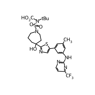 Cc1cc(Nc2nccc(C(F)(F)F)n2)cc(-c2cnc(C3(O)CCCN(S(=O)(=O)N(C(=O)O)C(C)(C)C)CC3)s2)c1